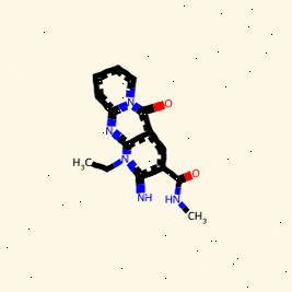 CCn1c(=N)c(C(=O)NC)cc2c(=O)n3ccccc3nc21